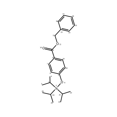 CC(C)[Si](Oc1ccc(C(=O)OCc2ccccc2)cc1)(C(C)C)C(C)C